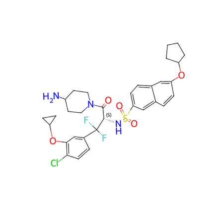 NC1CCN(C(=O)[C@H](NS(=O)(=O)c2ccc3cc(OC4CCCC4)ccc3c2)C(F)(F)c2ccc(Cl)c(OC3CC3)c2)CC1